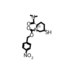 CN(C)C(=O)[C@@H]1CC[C@H](S)CN1C(=O)OCc1ccc([N+](=O)[O-])cc1